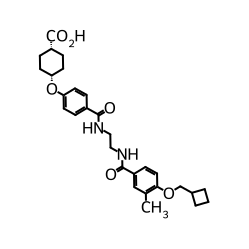 Cc1cc(C(=O)NCCNC(=O)c2ccc(O[C@H]3CC[C@@H](C(=O)O)CC3)cc2)ccc1OCC1CCC1